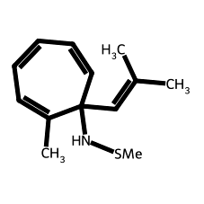 CSNC1(C=C(C)C)C=CC=CC=C1C